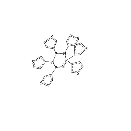 c1cc(N2P(c3ccsc3)N=P(c3ccsc3)(c3ccsc3)N(c3ccsc3)P2c2ccsc2)cs1